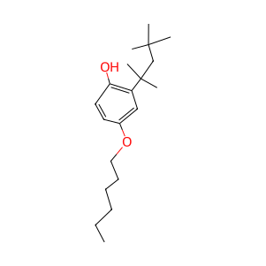 CCCCCCOc1ccc(O)c(C(C)(C)CC(C)(C)C)c1